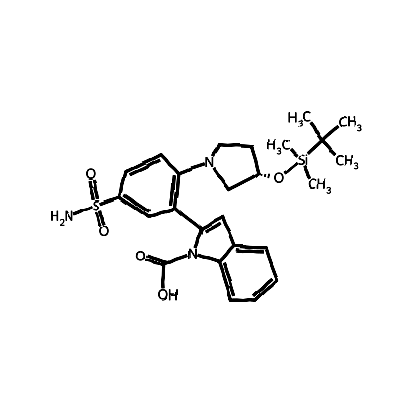 CC(C)(C)[Si](C)(C)O[C@H]1CCN(c2ccc(S(N)(=O)=O)cc2-c2cc3ccccc3n2C(=O)O)C1